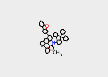 CC1C=C(N(c2ccc(-c3ccc4c(c3)oc3ccccc34)cc2)c2cccc3c2-c2ccccc2C3(c2ccccc2)c2ccccc2)C(c2cccc3cccc(-c4ccccc4)c23)=CC1